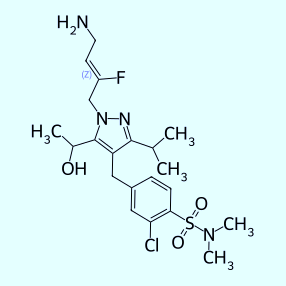 CC(C)c1nn(C/C(F)=C/CN)c(C(C)O)c1Cc1ccc(S(=O)(=O)N(C)C)c(Cl)c1